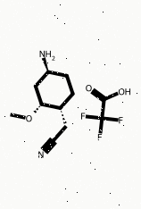 CO[C@@H]1C[C@@H](N)CC[C@@H]1CC#N.O=C(O)C(F)(F)F